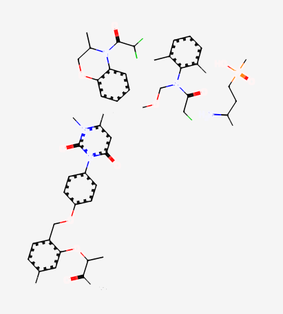 CC1COc2ccccc2N1C(=O)C(Cl)Cl.CCOCN(C(=O)CCl)c1c(C)cccc1CC.CCc1ccc(COc2ccc(-n3c(=O)cc(C(F)(F)F)n(C)c3=O)cc2)c(OC(C)C(=O)OC)c1.CP(=O)(O)CCC(N)C(=O)O